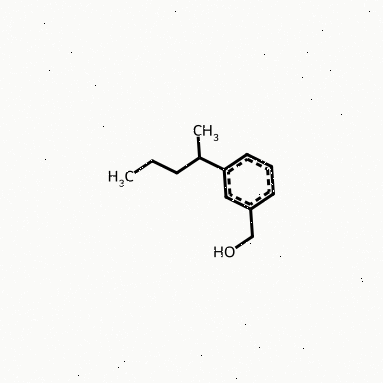 CCCC(C)c1cccc(CO)c1